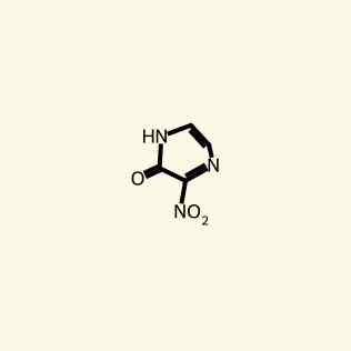 O=c1[nH]ccnc1[N+](=O)[O-]